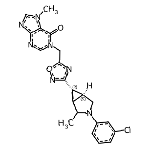 CC1C2[C@H](CN1c1cccc(Cl)c1)[C@H]2c1noc(Cn2cnc3ncn(C)c3c2=O)n1